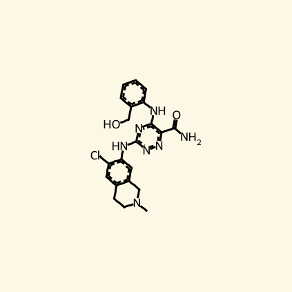 CN1CCc2cc(Cl)c(Nc3nnc(C(N)=O)c(Nc4ccccc4CO)n3)cc2C1